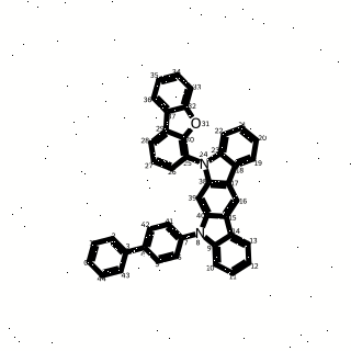 c1ccc(-c2ccc(-n3c4ccccc4c4cc5c6ccccc6n(-c6cccc7c6oc6ccccc67)c5cc43)cc2)cc1